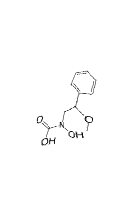 COC(CN(O)C(=O)O)c1ccccc1